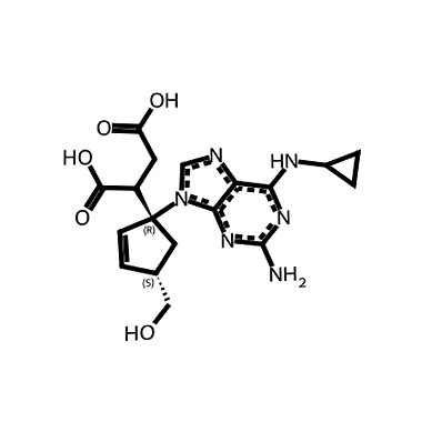 Nc1nc(NC2CC2)c2ncn([C@@]3(C(CC(=O)O)C(=O)O)C=C[C@@H](CO)C3)c2n1